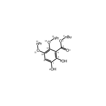 CCCCOC(=O)c1c(O)c(O)cc(OCCC)c1OCCC